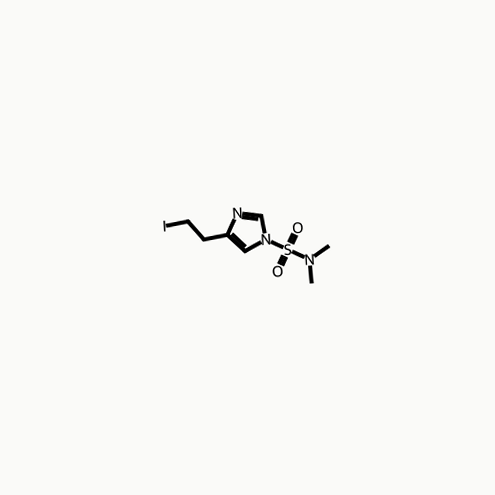 CN(C)S(=O)(=O)n1cnc(CCI)c1